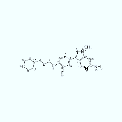 Cn1nc(-c2ccc(OCCCN3CCOCC3)c(F)c2)c2cnc(N)nc21